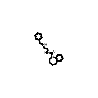 O=C(NCCNCc1ccccc1)N1CCCCc2ccccc21